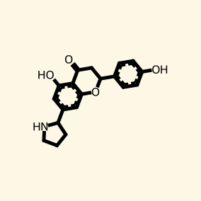 O=C1CC(c2ccc(O)cc2)Oc2cc(C3CCCN3)cc(O)c21